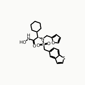 O=C(NO)[C@@H](C1CCCCC1)N(Cc1ccco1)S(=O)(=O)Cc1ccc2sccc2c1